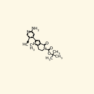 C#Cc1cnc(N)cc1-c1cc2c(n1C)CCN(C(=O)OC(C)(C)C)C2=O